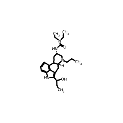 CCCN1C[C@@H](NC(=O)N(CC)CC)CC2c3cccc4[nH]c(C(O)CC)c(c34)C[C@H]21